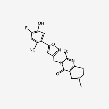 CCc1nc2c(c(=O)n1Cc1cc(-c3cc(O)c(F)cc3C#N)on1)CN(C)CC2